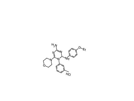 CCOc1ccc(NC2N=C(N)N=C(N3CCOCC3)N2c2cccc(C)c2)cc1.Cl